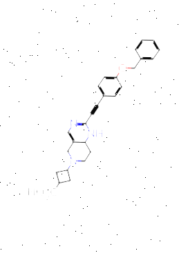 O=C(O)C1CC(N2CCC3NC(C#Cc4ccc(OCc5ccccc5)cc4)=NC=C3C2)C1